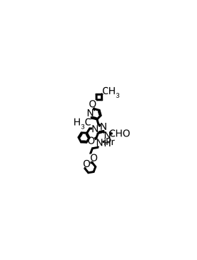 Cc1nc(OC2CC(C)C2)ccc1-c1nc(NC=O)c(C(=O)N(CCCOC2CCCCO2)C(C)C)n1Cc1ccccc1